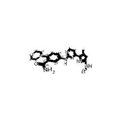 CCNc1cc(C)c(-c2ccnc(Nc3ccc(N4CCOCC4)c(C(N)=O)c3)n2)[nH]1